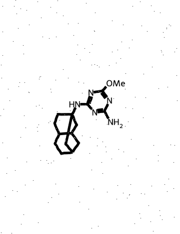 COc1nc(N)nc(NC23CCC4CCC(CC4C2)C3)n1